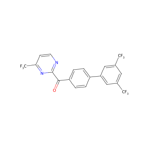 O=C(c1ccc(-c2cc(C(F)(F)F)cc(C(F)(F)F)c2)cc1)c1nccc(C(F)(F)F)n1